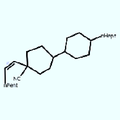 CCCCC/C=C\C1(C#N)CCC(C2CCC(CCCCCCC)CC2)CC1